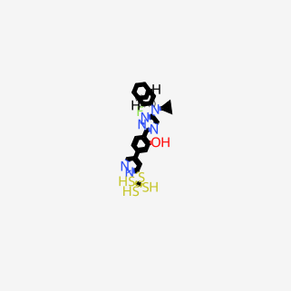 Oc1cc(-c2cnnc(SC(S)(S)S)c2)ccc1-c1ncc(N(C2CC2)[C@@H]2C[C@H]3CCC[C@H](C3)[C@@H]2F)nn1